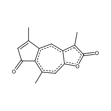 CC1=CC(=O)c2c(C)cc3oc(=O)c(C)c-3cc21